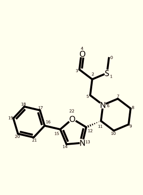 CSC(C=O)CN1CCCC[C@@H]1c1ncc(-c2ccccc2)o1